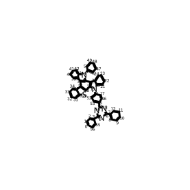 c1ccc(-c2nc(-c3ccccc3)nc(-c3ccc(-n4c5ccccc5c5c4c4sc6ccccc6c4c4c6ccccc6n(-c6ccccc6)c45)cc3)n2)cc1